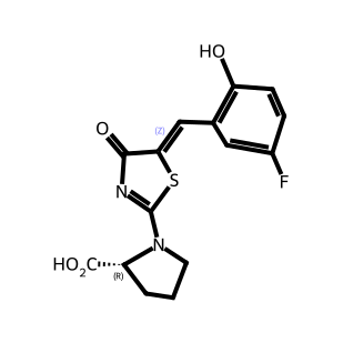 O=C1N=C(N2CCC[C@@H]2C(=O)O)S/C1=C\c1cc(F)ccc1O